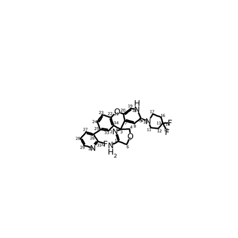 NC1=NC2(COC1)C1=C[C@H](N3CCC(F)(F)CC3)NC=C1Oc1ccc(-c3cccnc3F)cc12